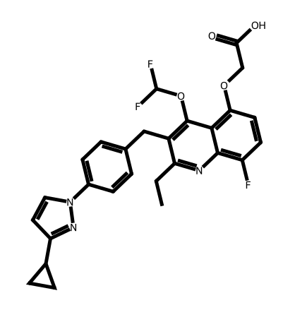 CCc1nc2c(F)ccc(OCC(=O)O)c2c(OC(F)F)c1Cc1ccc(-n2ccc(C3CC3)n2)cc1